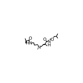 C=C(C)C(=O)NCCCN(C)C/C=C(\C)C(=O)NCOCC(C)C